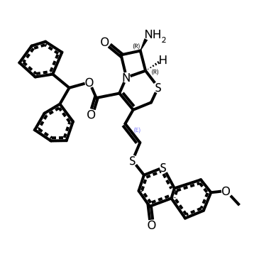 COc1ccc2c(=O)cc(S/C=C/C3=C(C(=O)OC(c4ccccc4)c4ccccc4)N4C(=O)[C@@H](N)[C@H]4SC3)sc2c1